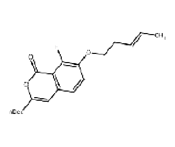 C/C=C/CCOc1ccc2cc(CCCCCCCCCC)oc(=O)c2c1F